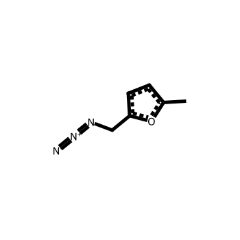 Cc1ccc(CN=[N+]=[N-])o1